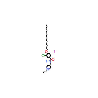 CCCCCCCCCCCCCCOc1ccc(C(=O)NCc2cc[n+](CCC)cc2)cc1Cl.[I-]